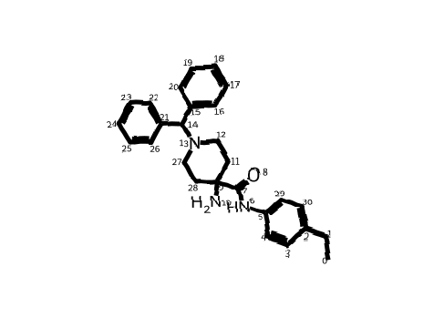 CCc1ccc(NC(=O)C2(N)CCN(C(c3ccccc3)c3ccccc3)CC2)cc1